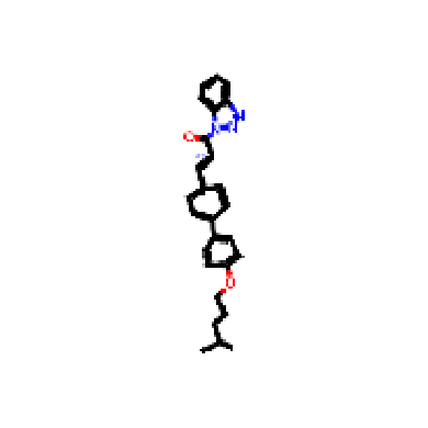 CC(C)CCCOc1ccc(-c2ccc(/C=C/C(=O)n3nnc4ccccc43)cc2)cc1